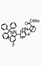 COC(=O)C1C2CCC(CC2)C1Nc1nc(-c2nn(C(c3ccccc3)(c3ccccc3)c3ccccc3)c3ncc(F)cc23)ncc1F